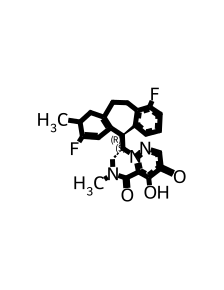 CC1CC2=C(C=C1F)[C@H]([C@H]1CN(C)C(=O)c3c(O)c(=O)cnn31)c1cccc(F)c1CC2